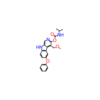 COCc1c(OC(=O)NC(C)C)ncc2[nH]c3ccc(Oc4ccccc4)cc3c12